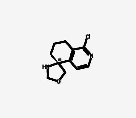 Clc1nccc2c1CCC[C@@]21COCN1